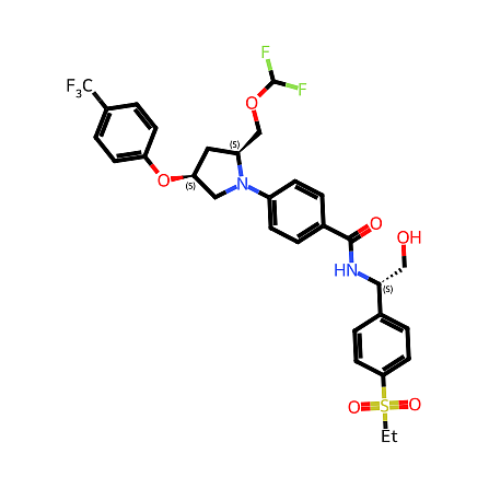 CCS(=O)(=O)c1ccc([C@@H](CO)NC(=O)c2ccc(N3C[C@@H](Oc4ccc(C(F)(F)F)cc4)C[C@H]3COC(F)F)cc2)cc1